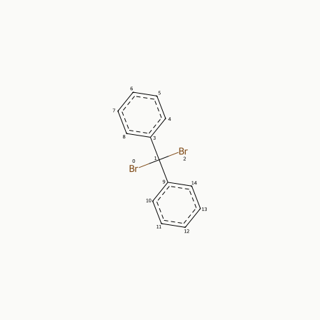 BrC(Br)(c1ccccc1)c1ccccc1